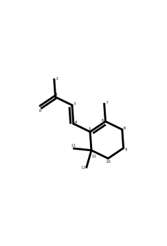 C=C(C)C=CC1=C(C)CCCC1(C)C